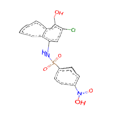 O=[N+](O)c1ccc(S(=O)(=O)Nc2cc(Cl)c(O)c3ccccc23)cc1